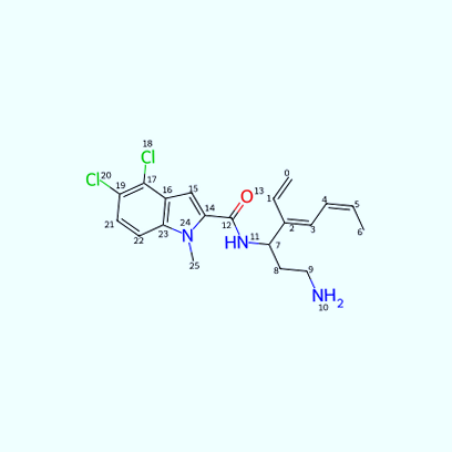 C=C/C(=C\C=C/C)C(CCN)NC(=O)c1cc2c(Cl)c(Cl)ccc2n1C